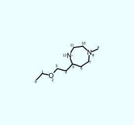 CCOCCC1CCN(C)CC[N]1